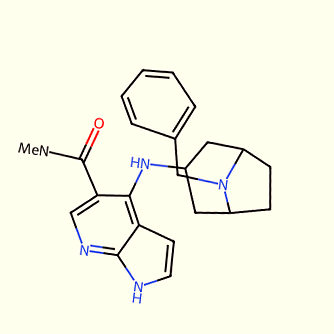 CNC(=O)c1cnc2[nH]ccc2c1NC1CC2CCC(C1)N2Cc1ccccc1